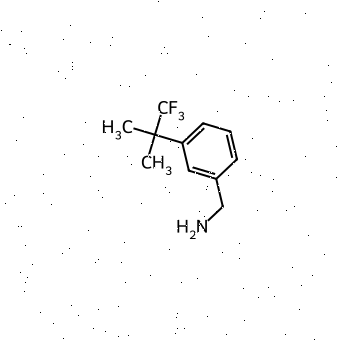 CC(C)(c1cccc(CN)c1)C(F)(F)F